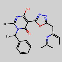 C/C=C(/Cc1nnc(-c2c(O)nc(CCCC)n(C(CC)c3ccccc3)c2=O)o1)N=C(C)C